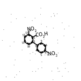 O=C(O)c1c(-c2ccc([N+](=O)[O-])cc2)[c]ccc1[N+](=O)[O-]